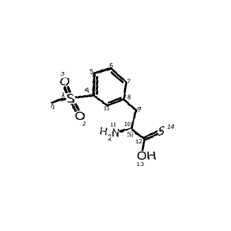 CS(=O)(=O)c1cccc(C[C@H](N)C(O)=S)c1